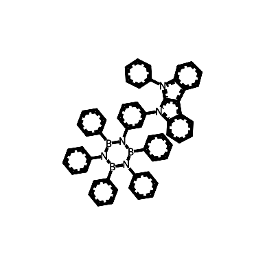 c1ccc(B2N(c3ccccc3)B(c3ccccc3)N(c3cccc(-n4c5ccccc5c5c6ccccc6n(-c6ccccc6)c54)c3)B(c3ccccc3)N2c2ccccc2)cc1